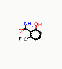 NC(=O)c1c(O)cccc1C(F)(F)F